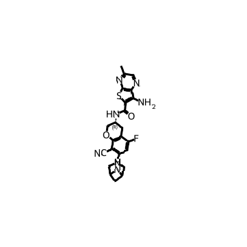 Cc1cnc2c(N)c(C(=O)N[C@H]3COc4c(C#N)c(N5CC6CC(C5)N6)cc(F)c4C3)sc2n1